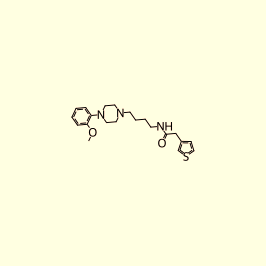 COc1ccccc1N1CCN(CCCCNC(=O)Cc2ccsc2)CC1